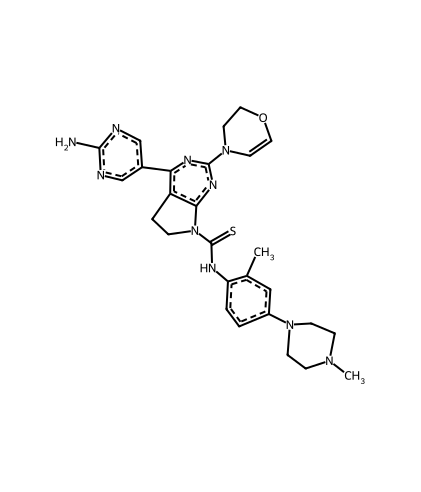 Cc1cc(N2CCN(C)CC2)ccc1NC(=S)N1CCc2c(-c3cnc(N)nc3)nc(N3C=COCC3)nc21